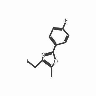 Cc1oc(-c2ccc(F)cc2)nc1CI